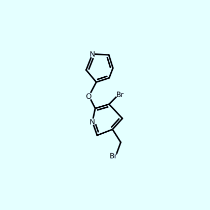 BrCc1cnc(Oc2cccnc2)c(Br)c1